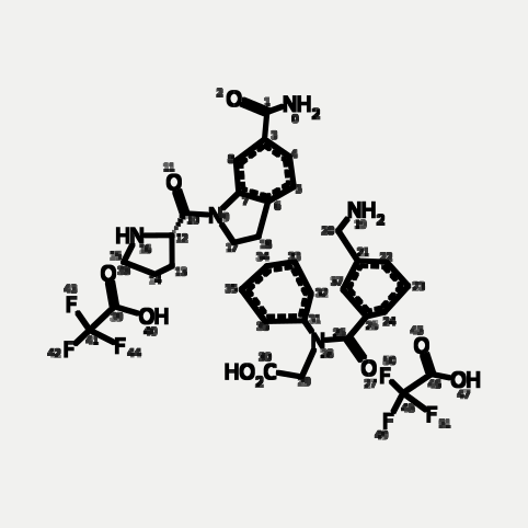 NC(=O)c1ccc2c(c1)N(C(=O)[C@@H]1CCCN1)CC2.NCc1cccc(C(=O)N(CC(=O)O)c2ccccc2)c1.O=C(O)C(F)(F)F.O=C(O)C(F)(F)F